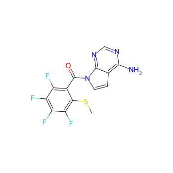 CSc1c(F)c(F)c(F)c(F)c1C(=O)n1ccc2c(N)ncnc21